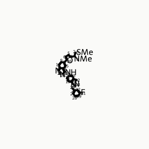 CN[C@H](CSC)c1ccc(-c2ccc3ncnc(Nc4ccc5c(cnn5Cc5cccc(F)c5)c4)c3c2)o1